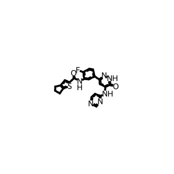 O=C(Nc1cc(-c2cc(Nc3ccncn3)c(=O)[nH]n2)ccc1F)c1cc2c(s1)CCC2